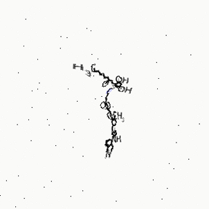 CCCCCCCC(=O)CC[C@@H]1[C@@H](C/C=C\CCCC(=O)OCCOc2cc(CN3CC[C@@H](Nc4cccc5cnccc45)C3)ccc2C)[C@@H](O)C[C@H]1O